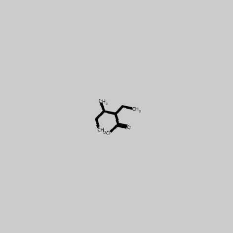 CCC(C)C(CC)C(=O)Cl